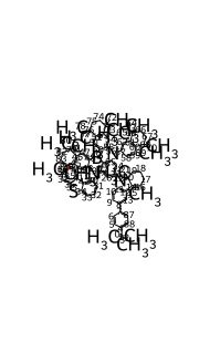 CC(C)(C)c1ccc(-c2ccc3c(c2)C2(C)CCCCC2(C)N3c2cc3c4c(c2)N(c2cccc5sc6ccccc6c25)c2cc5c(cc2B4c2cc4c(cc2N3c2ccc3c(c2)C(C)(C)CCC3(C)C)C(C)(C)CCC4(C)C)C(C)(C)CCC5(C)C)cc1